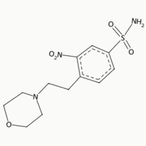 NS(=O)(=O)c1ccc(CCN2CCOCC2)c([N+](=O)[O-])c1